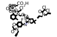 C#CCN1C(=O)COc2cc(F)c(/N=c3\snc4n3CC(C)(C)C4)cc21.C=CCN(CC=C)C(=O)C(Cl)Cl.CCOCN(C(=O)CCl)c1c(C)cccc1CC.O=C(O)CNCP(=O)(O)O